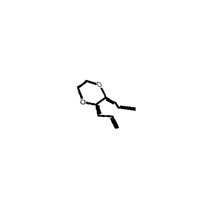 C=C/C=C1/OCCO/C1=C/C=C